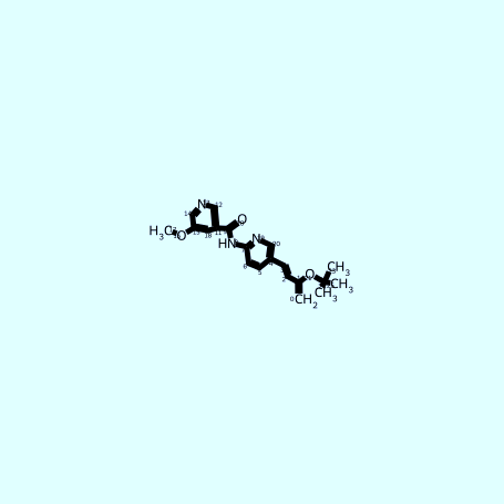 C=C(/C=C/c1ccc(NC(=O)c2cncc(OC)c2)nc1)OC(C)(C)C